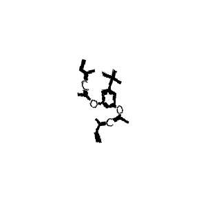 C#CC(C)=C=C(C)Oc1cc(OC(C)=C=C(C)C=C)cc(C(C)(C)C)c1